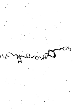 CCCCNCCOCCOCCN1Cc2ccc(CCCC)cc2C1